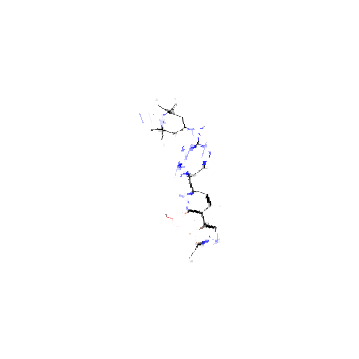 COc1nc(-c2cnc(N(C)C3CC(C)(C)NC(C)(C)C3)nn2)ccc1-c1cnc(C)s1